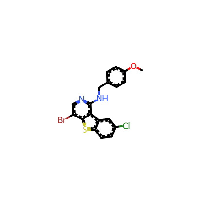 COc1ccc(CNc2ncc(Br)c3sc4ccc(Cl)cc4c23)cc1